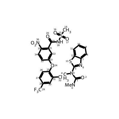 CNC(=O)N(C)c1nc2ccccc2s1.CS(=O)(=O)NC(=O)c1cc(Oc2ccc(C(F)(F)F)cc2Cl)ccc1[N+](=O)[O-]